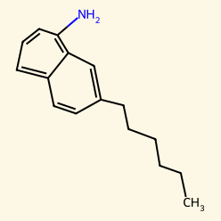 CCCCCCc1ccc2cccc(N)c2c1